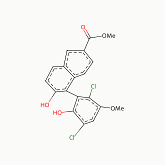 COC(=O)c1ccc2c(-c3c(O)c(Cl)cc(OC)c3Cl)c(O)ccc2c1